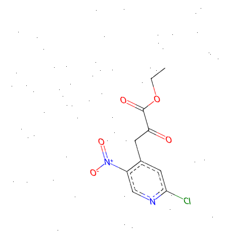 CCOC(=O)C(=O)Cc1cc(Cl)ncc1[N+](=O)[O-]